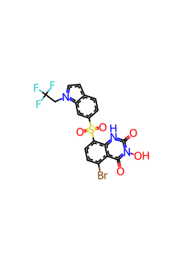 O=c1[nH]c2c(S(=O)(=O)c3ccc4ccn(CC(F)(F)F)c4c3)ccc(Br)c2c(=O)n1O